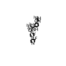 [2H]C([2H])([2H])Oc1cccc([C@H](NC(=O)N2CCN(c3ccncc3F)C[C@H]2C)C([2H])([2H])[2H])c1